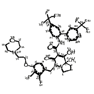 C[C@@]12CCCN1N(Cc1ccc(OCCN3CCOCC3)c(F)c1F)C(=O)C(C(=O)Nc1ccc(C(F)(F)F)cc1-c1cc(C(F)(F)F)ncn1)=C2O